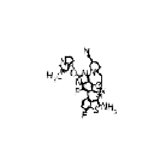 C[C@H]1CN2CCC[C@@]2(COc2nc3c4c(c(Cl)c(-c5ccc(F)c6sc(N)c(C#N)c56)c(F)c4n2)OCCC2CCC(C#N)CN32)C1